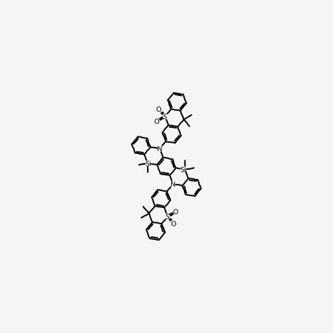 CC1(C)c2ccccc2S(=O)(=O)c2cc(N3c4ccccc4[Si](C)(C)c4cc5c(cc43)[Si](C)(C)c3ccccc3N5c3ccc4c(c3)S(=O)(=O)c3ccccc3C4(C)C)ccc21